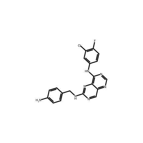 Nc1ccc(CNc2ncc3ncnc(Nc4ccc(F)c(Cl)c4)c3n2)cc1